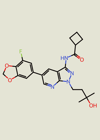 CC(C)(O)CCn1nc(NC(=O)C2CCC2)c2cc(-c3cc(F)c4c(c3)OCO4)cnc21